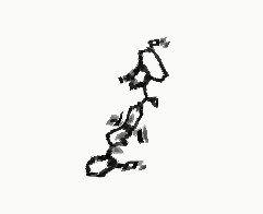 CN1CCc2c(C(=O)N3C[C@H]4C[C@@H](c5ccccc5C(F)(F)F)C[C@H]4C3)n[nH]c2C1